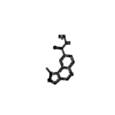 Cn1ncc2cnc3ccc(C(=O)NN)cc3c21